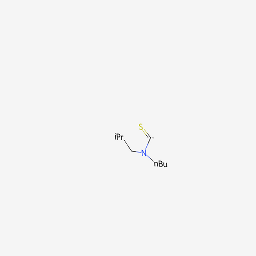 CCCCN([C]=S)CC(C)C